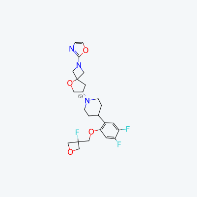 Fc1cc(OCC2(F)COC2)c(C2CCN([C@@H]3COC4(C3)CN(c3ncco3)C4)CC2)cc1F